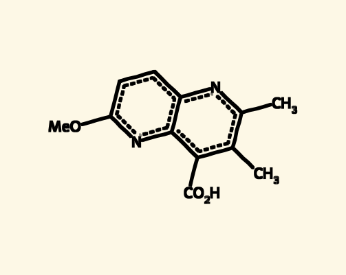 COc1ccc2nc(C)c(C)c(C(=O)O)c2n1